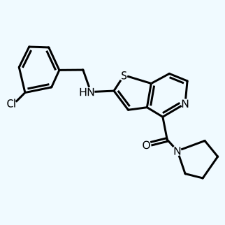 O=C(c1nccc2sc(NCc3cccc(Cl)c3)cc12)N1CCCC1